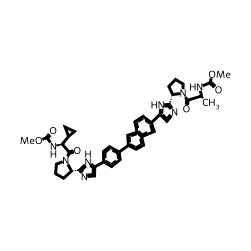 COC(=O)N[C@@H](C)C(=O)N1CCC[C@H]1c1ncc(-c2ccc3cc(-c4ccc(-c5cnc([C@@H]6CCCN6C(=O)[C@@H](NC(=O)OC)C6CC6)[nH]5)cc4)ccc3c2)[nH]1